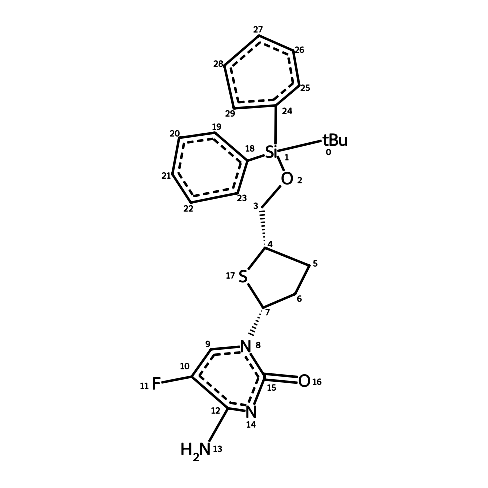 CC(C)(C)[Si](OC[C@@H]1CC[C@H](n2cc(F)c(N)nc2=O)S1)(c1ccccc1)c1ccccc1